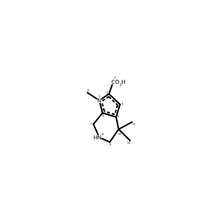 Cn1c(C(=O)O)cc2c1CNCC2(C)C